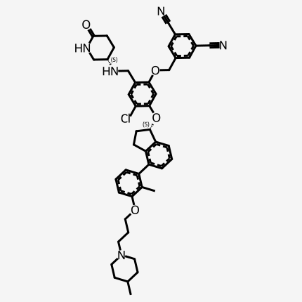 Cc1c(OCCCN2CCC(C)CC2)cccc1-c1cccc2c1CC[C@@H]2Oc1cc(OCc2cc(C#N)cc(C#N)c2)c(CN[C@H]2CCC(=O)NC2)cc1Cl